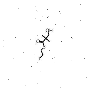 CC(C)(CO)C(=O)SCCI